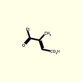 CCC(=O)/C(C)=C/C(=O)O